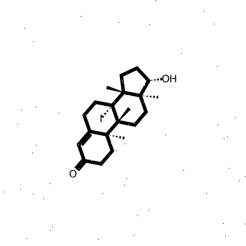 C[C@]12CC[C@]3(C)[C@@H](O)CC[C@@]3(C)[C@]1(I)CCC1=CC(=O)CC[C@@]12C